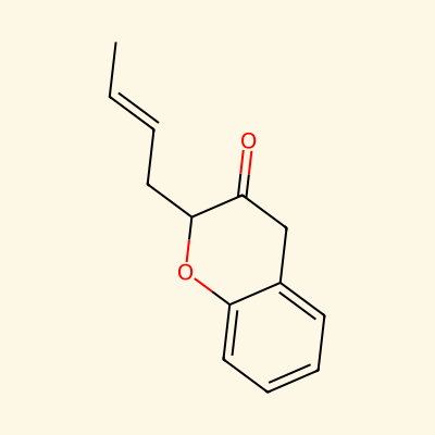 CC=CCC1Oc2ccccc2CC1=O